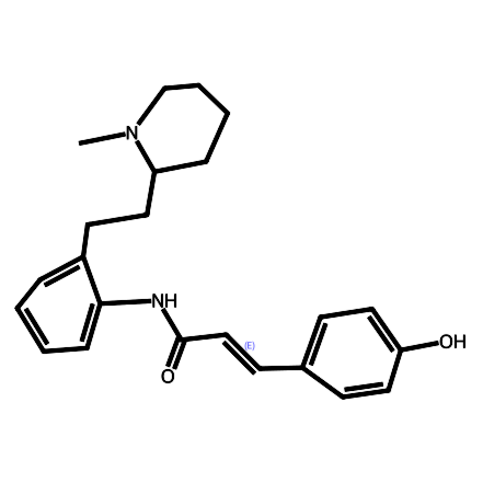 CN1CCCCC1CCc1ccccc1NC(=O)/C=C/c1ccc(O)cc1